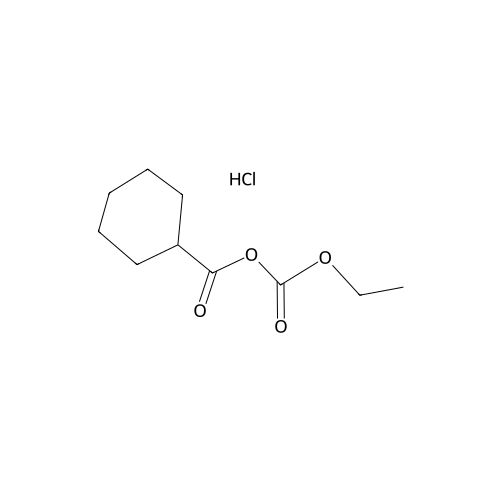 CCOC(=O)OC(=O)C1CCCCC1.Cl